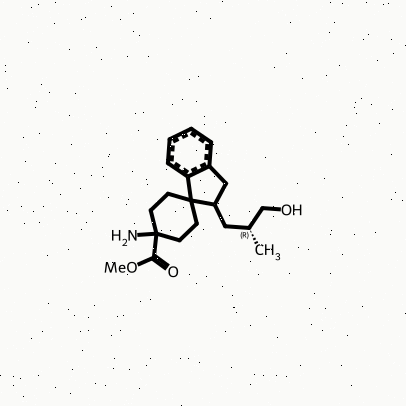 COC(=O)C1(N)CCC2(CC1)c1ccccc1CC2C[C@@H](C)CO